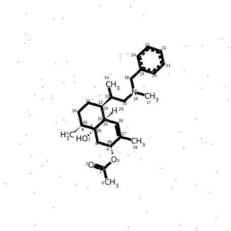 CC(=O)O[C@@H]1[CH][C@@]2(O)[C@H](C)CC[C@@H](C(C)CN(C)Cc3ccccc3)[C@H]2C=C1C